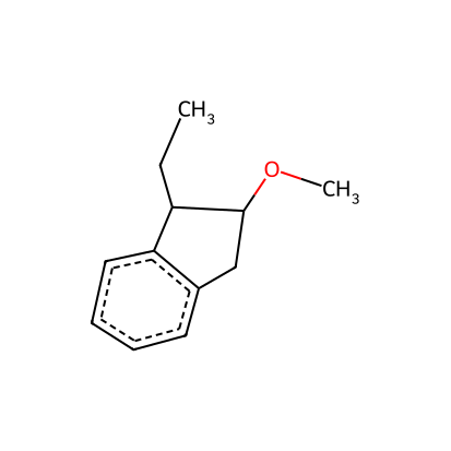 CCC1c2ccccc2CC1OC